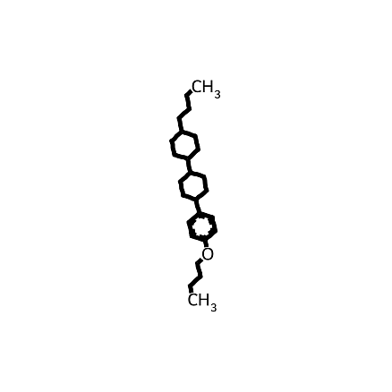 CCCCOc1ccc(C2CCC(C3CCC(CCCC)CC3)CC2)cc1